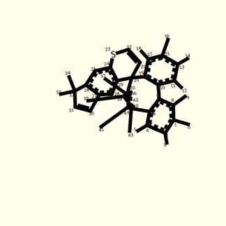 Cc1c(C)c(C)c2c(c1C)-c1c(C)c(C)c(C)c(C)c1C1(C=CSc3cc4c(cc31)C=CC4(C)C)c1c(C)c(C)c(C)c(C)c1-2